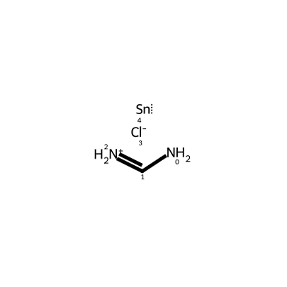 NC=[NH2+].[Cl-].[Sn]